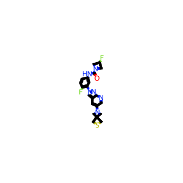 O=C(Nc1ccc(F)c(-n2cc3cc(N4CC5(CSC5)C4)cnc3n2)c1)N1CC(F)C1